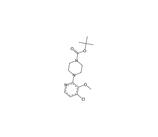 COc1c(Cl)ccnc1N1CCN(C(=O)OC(C)(C)C)CC1